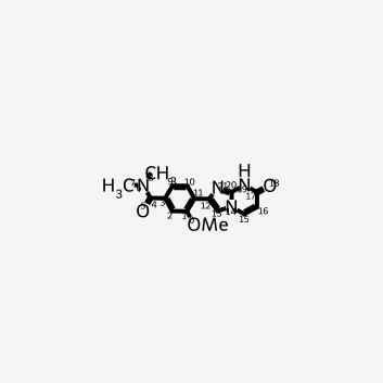 COc1cc(C(=O)N(C)C)ccc1-c1cn2ccc(=O)[nH]c2n1